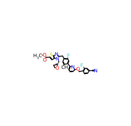 COC(=O)c1cc2c(nc(Cc3cc(C)c(-c4cccc(OCc5ccc(C#N)cc5F)n4)cc3F)n2C[C@@H]2CCO2)s1